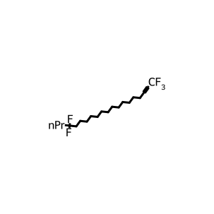 CCCC(F)(F)CCCCCCCCCCCCCC#CC(F)(F)F